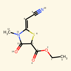 CCOC(=O)C1SC(=CC#N)N(C)C1=O